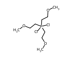 COCCP(Cl)(Cl)(CCOC)CCOC